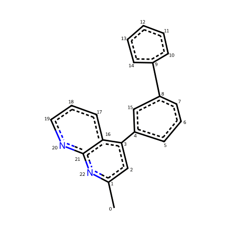 Cc1cc(-c2cccc(-c3ccccc3)c2)c2cccnc2n1